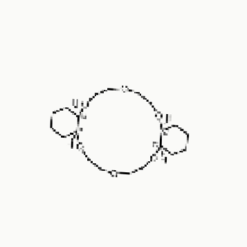 C1CC[C@@H]2OCCOCCO[C@@H]3CCCC[C@H]3OCCOCCO[C@H]2C1